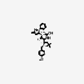 COc1ccc(CS[C@](C)(CC(C)(C)C)C(NC(=O)O)C(=O)Nc2cc(C)nn2-c2ccccc2)cc1